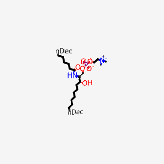 CCCCCCCCCCCCCCCCC[C@@H](O)[C@H](COP(=O)([O-])OCC[N+](C)(C)C)NC(=O)CCCCCCCCCCCCCCC